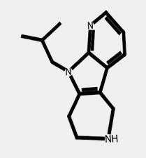 CC(C)Cn1c2c(c3cccnc31)CNCC2